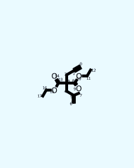 C#CCC(CC(=C)C)(C(=O)OCC)C(=O)OCC